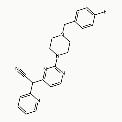 N#CC(c1ccccn1)c1ccnc(N2CCN(Cc3ccc(F)cc3)CC2)n1